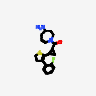 NC1CCCN(C(=O)C2CC2C2=C(c3ccccc3F)CCS2)CC1